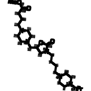 CCCN1CCN(CCCCN2CC(CN3CCN(CCCC(=O)OC)CC3)OC2=O)CC1